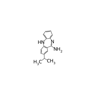 CC(C)c1ccc2c(c1)C(N)=Nc1ccccc1N2